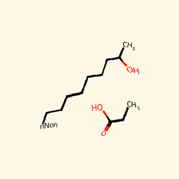 CCC(=O)O.CCCCCCCCCCCCCCCCC(C)O